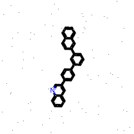 c1cc(-c2ccc(-c3cnc4ccccc4c3)cc2)cc(-c2ccc3ccccc3c2)c1